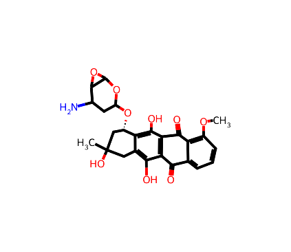 COc1cccc2c1C(=O)c1c(O)c3c(c(O)c1C2=O)CC(C)(O)C[C@@H]3OC1CC(N)C2OC2O1